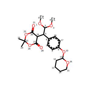 CCOC(OCC)C(c1ccc(OC2CCCCO2)cc1)C1C(=O)OC(C)(C)OC1=O